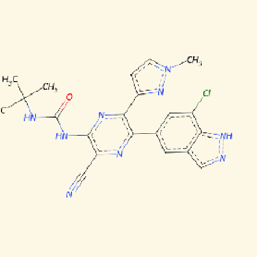 Cn1ccc(-c2nc(NC(=O)NC(C)(C)C)c(C#N)nc2-c2cc(Cl)c3[nH]ncc3c2)n1